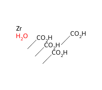 CC(=O)O.CC(=O)O.CC(=O)O.CC(=O)O.O.[Zr]